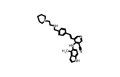 Cc1c(Nc2c(C#N)cncc2C=Cc2ccc(CNCCN3CCCCC3)cc2)ccc2[nH]ccc12